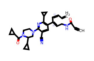 C#CC(=O)NC/C=C(\C=C/C=C)c1cc(C#N)c(N2CCN(C(=O)C3CC3)C(C3CC3)C2)nc1C1CC1